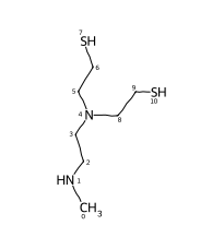 CNCCN(CCS)CCS